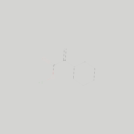 C=C(C(=O)OCl)C1CCCCC1